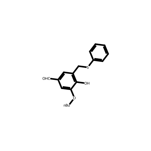 CCCCOc1cc(C=O)cc(CSc2ccccc2)c1O